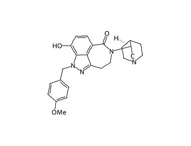 COc1ccc(Cn2nc3c4c(ccc(O)c42)C(=O)N([C@@H]2CN4CCC2CC4)CC3)cc1